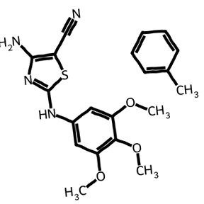 COc1cc(Nc2nc(N)c(C#N)s2)cc(OC)c1OC.Cc1ccccc1